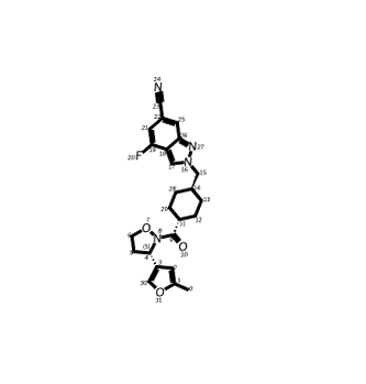 Cc1cc([C@@H]2CCON2C(=O)[C@H]2CC[C@H](Cn3cc4c(F)cc(C#N)cc4n3)CC2)co1